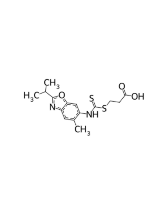 Cc1cc2nc(C(C)C)oc2cc1NC(=S)SCCC(=O)O